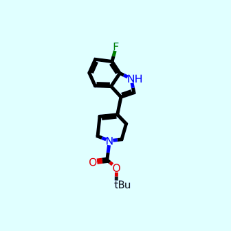 CC(C)(C)OC(=O)N1CC=C(c2c[nH]c3c(F)cccc23)CC1